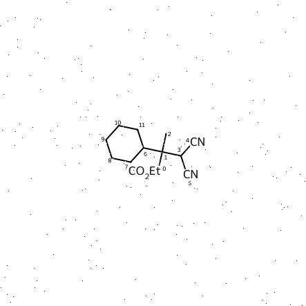 CCOC(=O)C(C)(C(C#N)C#N)C1CCCCC1